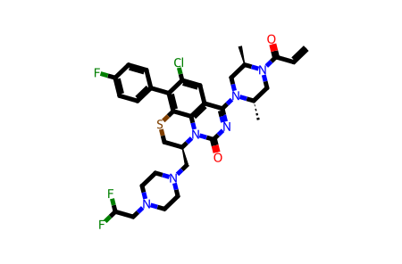 C=CC(=O)N1C[C@H](C)N(c2nc(=O)n3c4c(c(-c5ccc(F)cc5)c(Cl)cc24)SC[C@@H]3CN2CCN(CC(F)F)CC2)C[C@H]1C